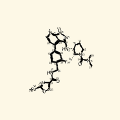 C[C@@H]1[C@H](Nc2n[nH]c3nccc(-c4ccc(CNC(=O)c5noc(C(C)(C)C)n5)c(F)c4)c23)CCCN1C(=O)N(C)C